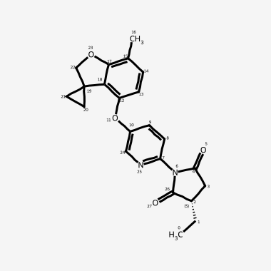 CC[C@H]1CC(=O)N(c2ccc(Oc3ccc(C)c4c3C3(CC3)CO4)cn2)C1=O